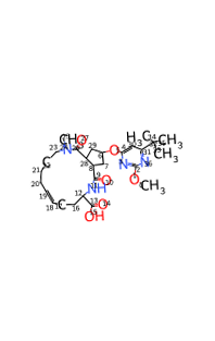 COc1nc(OC2CC3C(=O)NC(C(=O)O)CCC=CCCCCN(C)C(=O)C3C2)cc(C(C)(C)C)n1